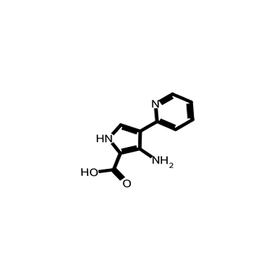 Nc1c(-c2ccccn2)c[nH]c1C(=O)O